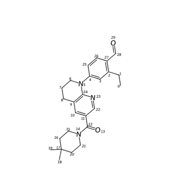 CCc1cc(N2CCCc3cc(C(=O)N4CCC(C)(C)CC4)cnc32)ccc1C=O